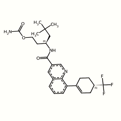 CC(C)(C)C[C@H](CCOC(N)=O)NC(=O)c1cnc2c(C3=CC[C@@H](C(F)(F)F)CC3)cccc2c1